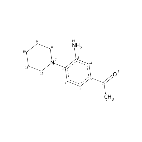 CC(=O)c1ccc(N2CCCCC2)c(N)c1